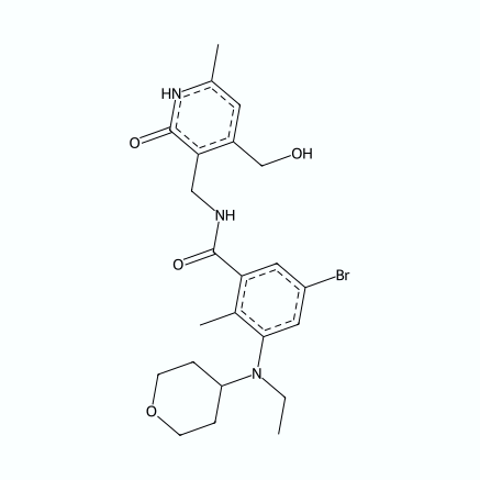 CCN(c1cc(Br)cc(C(=O)NCc2c(CO)cc(C)[nH]c2=O)c1C)C1CCOCC1